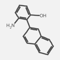 Nc1cccc(O)c1-c1ccc2ccccc2c1